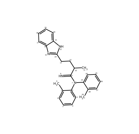 Cc1ccccc1N(C(=N)C(C)CCc1nc2ccccc2[nH]1)c1ccccc1C